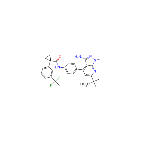 Cn1nc(N)c2c(-c3ccc(NC(=O)C4(c5cccc(C(C)(F)F)c5)CC4)cc3)cc(C(C)(C)C(=O)O)nc21